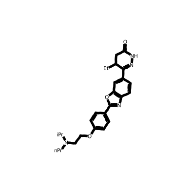 CCCN(CCOc1ccc(-c2nc3ccc(C4=NNC(=O)CC4CC)cc3o2)cc1)C(C)C